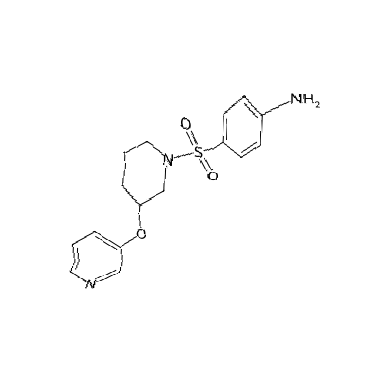 Nc1ccc(S(=O)(=O)N2CCCC(Oc3cccnc3)C2)cc1